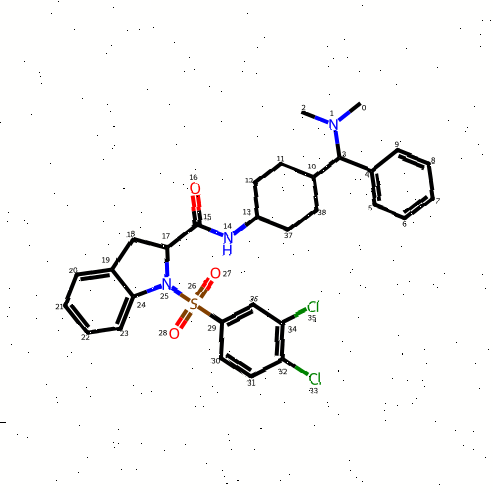 CN(C)C(c1ccccc1)C1CCC(NC(=O)C2Cc3ccccc3N2S(=O)(=O)c2ccc(Cl)c(Cl)c2)CC1